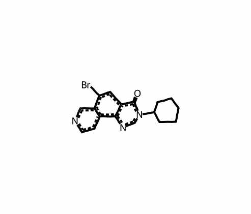 O=c1c2cc(Br)c3cnccc3c2ncn1C1CCCCC1